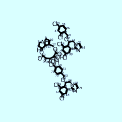 C[C@H]1C(=O)O[C@@H]2CCN3CC=C(COC(=O)[C@](C)(O)[C@]1(C)O)[C@H]23.Clc1ccc(COC(Cn2ccnc2)c2ccc(Cl)cc2Cl)c(Cl)c1.Clc1ccc(COC(Cn2ccnc2)c2ccc(Cl)cc2Cl)cc1